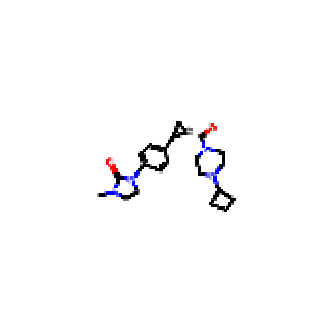 CN1CCN(c2ccc(C3C[C@@H]3C(=O)N3CCN(C4CCC4)CC3)cc2)C1=O